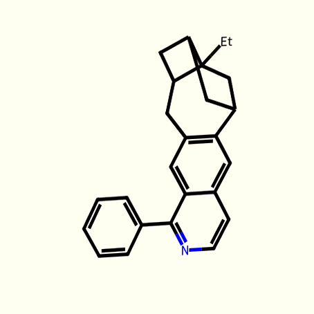 CCC12CC3CC1CC2Cc1cc2c(-c4ccccc4)nccc2cc13